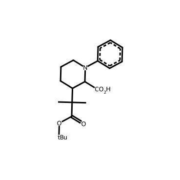 CC(C)(C)OC(=O)C(C)(C)C1CCCN(c2ccccc2)C1C(=O)O